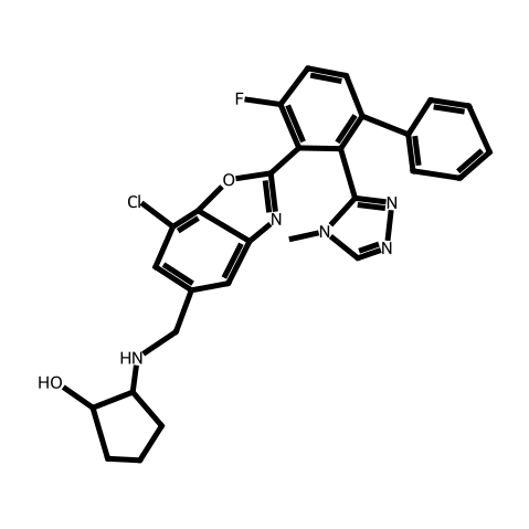 Cn1cnnc1-c1c(-c2ccccc2)ccc(F)c1-c1nc2cc(CNC3CCCC3O)cc(Cl)c2o1